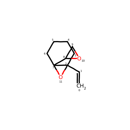 C=CC12CCCCC1(C1CO1)O2